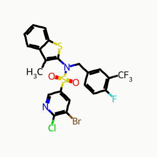 Cc1c(N(Cc2ccc(F)c(C(F)(F)F)c2)S(=O)(=O)c2cnc(Cl)c(Br)c2)sc2ccccc12